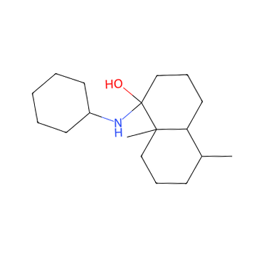 CC1CCCC2(C)C1CCCC2(O)NC1CCCCC1